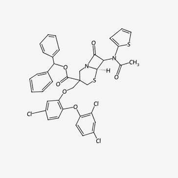 CC(=O)N(c1cccs1)C1C(=O)N2CC(COc3cc(Cl)ccc3Oc3ccc(Cl)cc3Cl)(C(=O)OC(c3ccccc3)c3ccccc3)CS[C@H]12